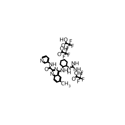 Cc1ccc2nc(C(=O)Nc3cccnc3)nc(NC3CCCCC3NC(=N)N)c2c1.O=C(O)C(F)(F)F.O=C(O)C(F)(F)F.O=C(O)C(F)(F)F